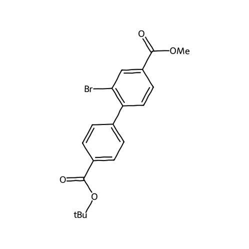 COC(=O)c1ccc(-c2ccc(C(=O)OC(C)(C)C)cc2)c(Br)c1